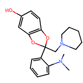 CN(C)c1ccccc1C1(CN2CCCCC2)Oc2ccc(O)cc2O1